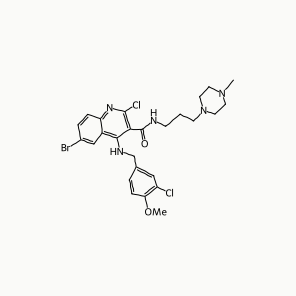 COc1ccc(CNc2c(C(=O)NCCCN3CCN(C)CC3)c(Cl)nc3ccc(Br)cc23)cc1Cl